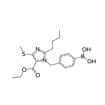 CCCCc1nc(SC)c(C(=O)OCC)n1Cc1ccc(B(O)O)cc1